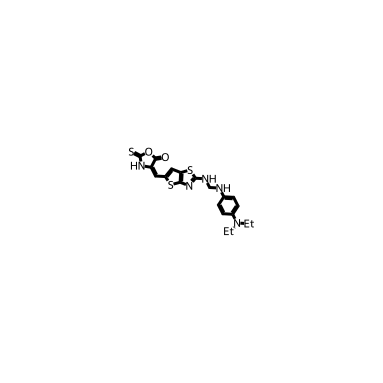 CCN(CC)c1ccc(NCNc2nc3sc(/C=C4/NC(=S)OC4=O)cc3s2)cc1